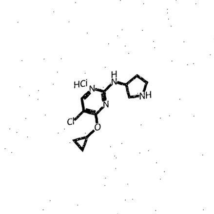 Cl.Clc1cnc(NC2CCNC2)nc1OC1CC1